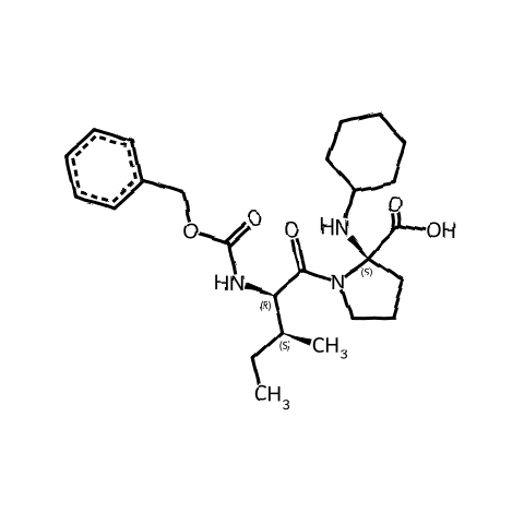 CC[C@H](C)[C@@H](NC(=O)OCc1ccccc1)C(=O)N1CCC[C@@]1(NC1CCCCC1)C(=O)O